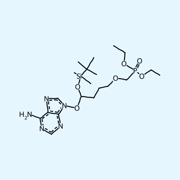 CCOP(=O)(COCCCC(On1cnc2c(N)ncnc21)O[Si](C)(C)C(C)(C)C)OCC